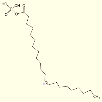 CCCCCCCC/C=C\CCCCCCCCCCCC(=O)OP(=O)(O)O